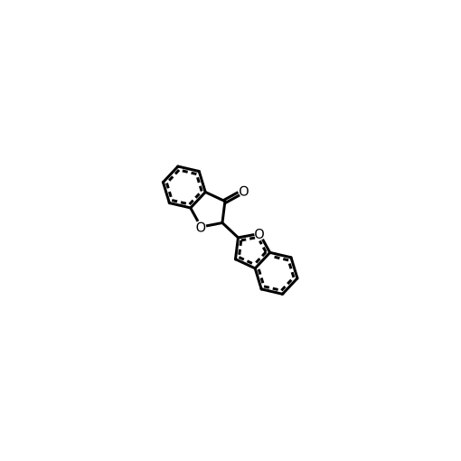 O=C1c2ccccc2OC1c1cc2ccccc2o1